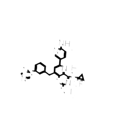 Nc1ccc(-c2cc(Cc3cccc(-n4cncn4)c3)c3nc(N)nc(NC4(C(F)(F)F)CC4)c3n2)cn1